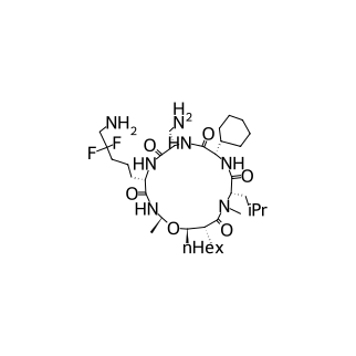 CCCCCC[C@H]1O[C@@H](C)NC(=O)[C@H](CCCC(F)(F)CN)NC(=O)[C@H](CN)NC(=O)[C@H](C2CCCCC2)NC(=O)[C@H](CC(C)C)N(C)C(=O)[C@@H]1C